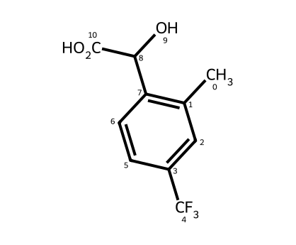 Cc1cc(C(F)(F)F)ccc1C(O)C(=O)O